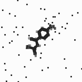 Nc1ccc(C(=O)O[C](=O)[Zn])cc1